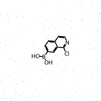 OB(O)c1ccc2ccnc(Cl)c2c1